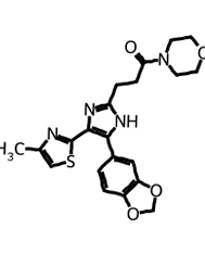 Cc1csc(-c2nc(CCC(=O)N3CCOCC3)[nH]c2-c2ccc3c(c2)OCO3)n1